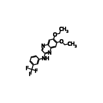 CCOc1cc2ncc(Nc3cccc(C(F)(F)F)c3)nc2cc1OCC